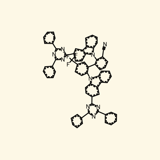 N#Cc1cccc(-c2cc(C(F)(F)F)ccc2-n2c3ccccc3c3cc(-c4nc(-c5ccccc5)nc(-c5ccccc5)n4)ccc32)c1-n1c2ccccc2c2cc(-c3nc(-c4ccccc4)nc(-c4ccccc4)n3)ccc21